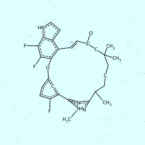 CC1CCCC(C)(C)C[S+]([O-])/C=C/c2c(c(F)c(F)c3[nH]ccc23)Oc2ccc(F)c(c2)-c2nc1nn2C